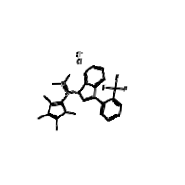 CC1=C(C)C(C)[C]([Zr+2]([CH]2C=C(c3ccccc3C(F)(F)F)c3ccccc32)=[Si](C)C)=C1C.[Cl-].[Cl-]